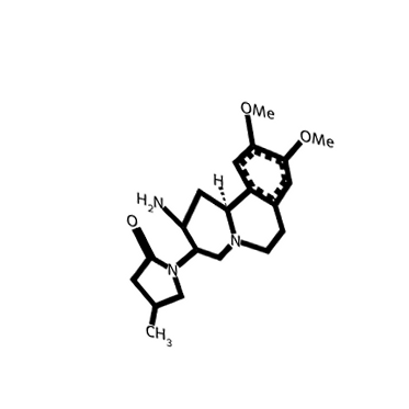 COc1cc2c(cc1OC)[C@@H]1CC(N)C(N3CC(C)CC3=O)CN1CC2